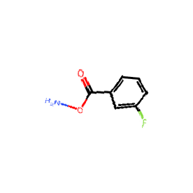 NOC(=O)c1cccc(F)c1